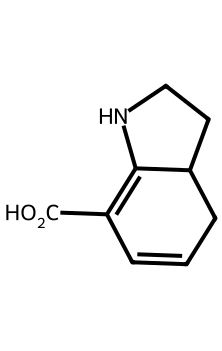 O=C(O)C1=C2NCCC2CC=C1